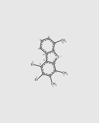 CCc1c(C)c(C)c2sc3c(C)cccc3c2c1CC